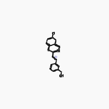 OCc1cccc(/C=C/C2=NC=C3CC(Cl)=CC=C3S2)c1